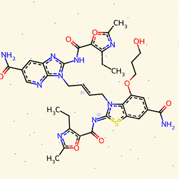 CCc1nc(C)oc1C(=O)/N=c1\sc2cc(C(N)=O)cc(OCCCO)c2n1C/C=C/Cn1c(NC(=O)c2oc(C)nc2CC)nc2cc(C(N)=O)cnc21